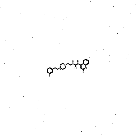 Cc1cccc(CCC2CCN(CCNC(=O)Nc3cc(C)nc4ccccc34)CC2)c1